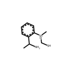 CC(N)c1cccc[c]1[SnH]([CH3])[CH2]S